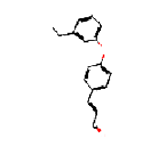 CCc1cccc(Oc2ccc(/C=C/C=O)cc2)c1